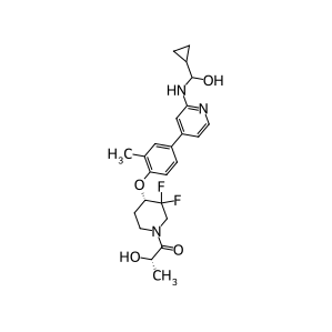 Cc1cc(-c2ccnc(NC(O)C3CC3)c2)ccc1O[C@H]1CCN(C(=O)[C@H](C)O)CC1(F)F